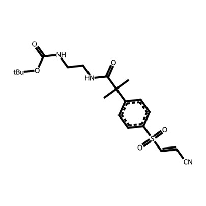 CC(C)(C)OC(=O)NCCNC(=O)C(C)(C)c1ccc(S(=O)(=O)C=CC#N)cc1